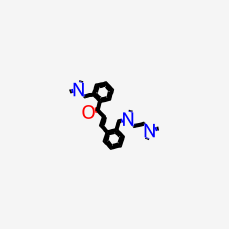 CN(C)CCN(C)Cc1ccccc1C=CC(=O)c1ccccc1CN(C)C